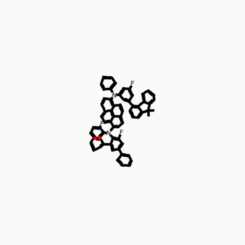 CC1(C)c2ccccc2-c2c(-c3cc(F)cc(N(c4ccccc4)c4ccc5ccc6c(N(c7ccccc7F)c7c(F)cc(-c8ccccc8)cc7-c7ccccc7)ccc7ccc4c5c76)c3)cccc21